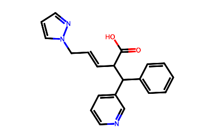 O=C(O)C(C=CCn1cccn1)C(c1ccccc1)c1cccnc1